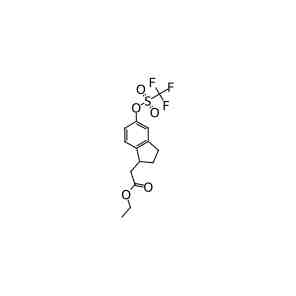 CCOC(=O)CC1CCc2cc(OS(=O)(=O)C(F)(F)F)ccc21